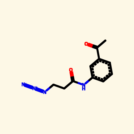 CC(=O)c1cccc(NC(=O)CCN=[N+]=[N-])c1